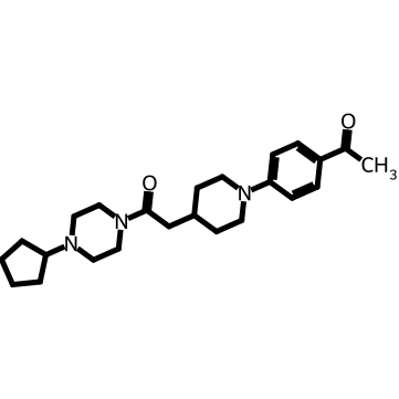 CC(=O)c1ccc(N2CCC(CC(=O)N3CCN(C4CCCC4)CC3)CC2)cc1